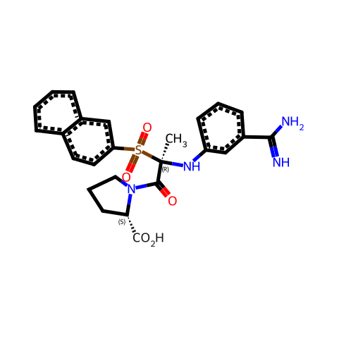 C[C@](Nc1cccc(C(=N)N)c1)(C(=O)N1CCC[C@H]1C(=O)O)S(=O)(=O)c1ccc2ccccc2c1